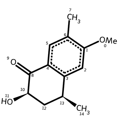 COc1cc2c(cc1C)C(=O)[C@H](O)C[C@@H]2C